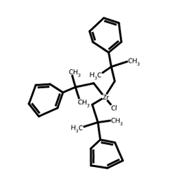 CC(C)([CH2][Zr]([Cl])([CH2]C(C)(C)c1ccccc1)[CH2]C(C)(C)c1ccccc1)c1ccccc1